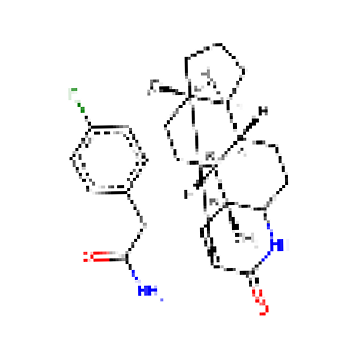 C[C@]12C=C3C(=O)NC1CC[C@@H]1[C@H]2CC[C@]2(C)C3CC[C@@H]12.NC(=O)Cc1ccc(F)cc1